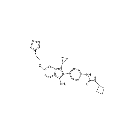 Nc1c(-c2ccc(NC(=O)NC3CCC3)cc2)n(C2CC2)c2cc(OCCn3ccnc3)ccc12